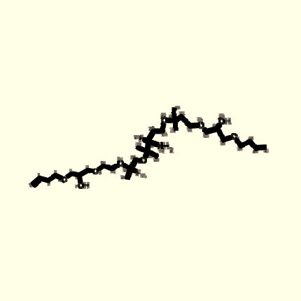 C=CCCOCC(O)COCCOC(C)(F)COC(C)(C)C(N)(F)CCOC(C)(C)CCOCC(O)COCCC=C